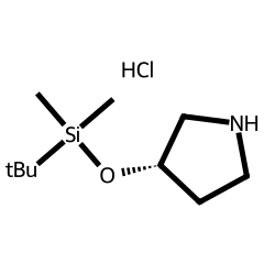 CC(C)(C)[Si](C)(C)O[C@H]1CCNC1.Cl